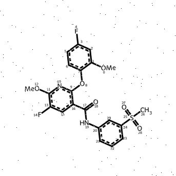 COc1cc(F)ccc1Oc1nc(OC)c(F)cc1C(=O)Nc1cccc(S(C)(=O)=O)c1